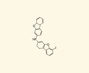 Ic1cccc2c3c(oc12)C=C(Pc1ccc2c(c1)OC1C=CC=CC21)CC3